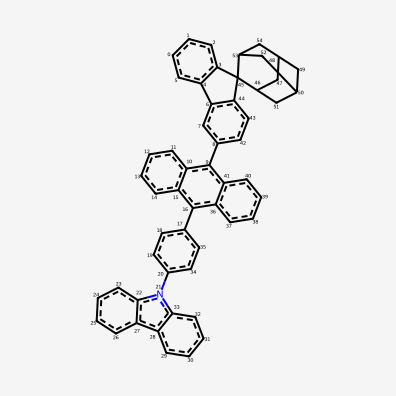 c1ccc2c(c1)-c1cc(-c3c4ccccc4c(-c4ccc(-n5c6ccccc6c6ccccc65)cc4)c4ccccc34)ccc1C21C2CC3CC(C2)CC1C3